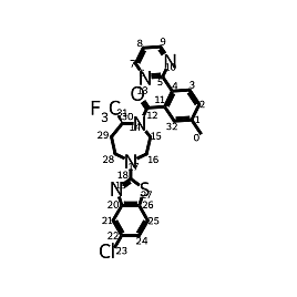 Cc1ccc(-c2ncccn2)c(C(=O)N2CCN(c3nc4cc(Cl)ccc4s3)CC[C@H]2C(F)(F)F)c1